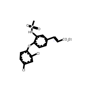 CCOC(=O)/C=C/c1ccc(Oc2ccc(Cl)cc2Cl)c(NS(C)(=O)=O)c1